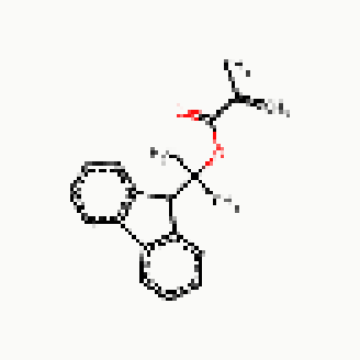 C=C(C)C(=O)OC(C)(C)C1c2ccccc2-c2ccccc21